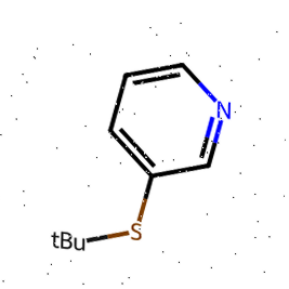 CC(C)(C)Sc1cccnc1